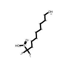 O=S(O)C(F)(F)CCCCCCCCO